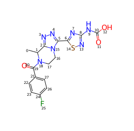 CC1c2nnc(-c3nc(NC(=O)O)ns3)n2CCN1C(=O)c1ccc(F)cc1